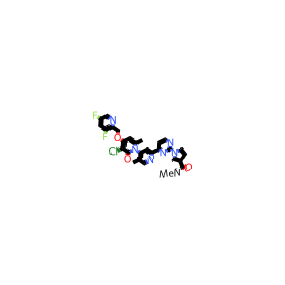 CNC(=O)C1CCN(c2nccc(-c3cc(-n4c(C)cc(OCc5ncc(F)cc5F)c(Cl)c4=O)c(C)cn3)n2)C1